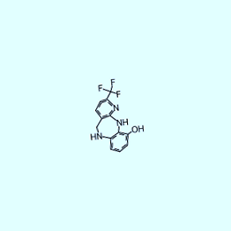 Oc1cccc2c1Nc1nc(C(F)(F)F)ccc1CN2